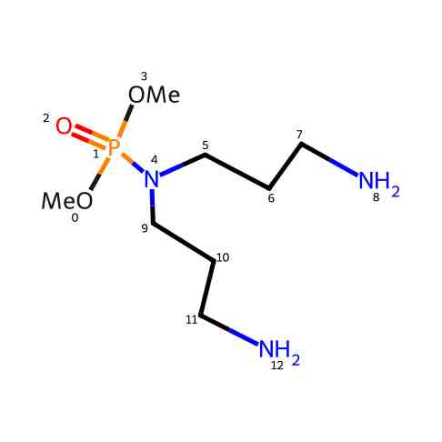 COP(=O)(OC)N(CCCN)CCCN